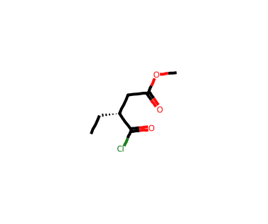 CC[C@H](CC(=O)OC)C(=O)Cl